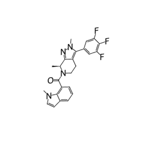 C[C@H]1c2nn(C)c(-c3cc(F)c(F)c(F)c3)c2CCN1C(=O)c1cccc2ccn(C)c12